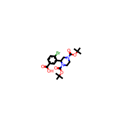 CC(C)(C)OC(=O)N1CCN(C(=O)OC(C)(C)C)C(c2cc(C(=O)O)ccc2Br)C1